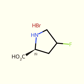 Br.O=C(O)[C@@H]1CC(F)CN1